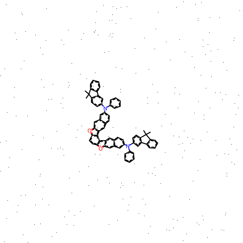 CC1(C)c2ccccc2-c2cc(N(c3ccccc3)c3ccc4cc5c(cc4c3)oc3ccc4oc6cc7cc(N(c8ccccc8)c8ccc9c(c8)-c8ccccc8C9(C)C)ccc7cc6c4c35)ccc21